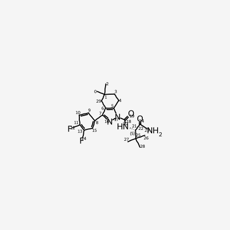 CC1(C)CCc2c(c(-c3ccc(F)c(F)c3)nn2C(=O)N[C@H](C(N)=O)C(C)(C)C)C1